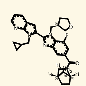 N[C@@H]1[C@@H]2CC[C@H]1N(C(=O)c1cc(F)c3c(c1)nc(-c1cc4cccnc4n1CC1CC1)n3C[C@H]1CCOC1)C2